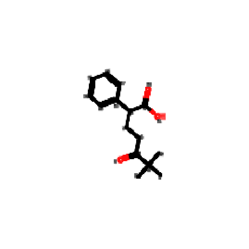 CC(C)(C)C(=O)CCC(C(=O)O)c1ccccc1